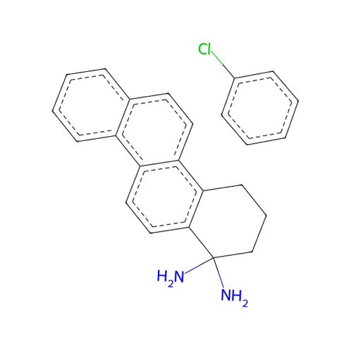 Clc1ccccc1.NC1(N)CCCc2c1ccc1c2ccc2ccccc21